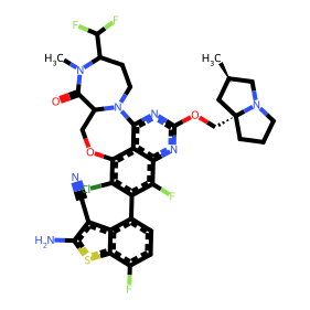 C[C@H]1CN2CCC[C@@]2(COc2nc3c4c(c(Cl)c(-c5ccc(F)c6sc(N)c(C#N)c56)c(F)c4n2)OCC2C(=O)N(C)C(C(F)F)CCN32)C1